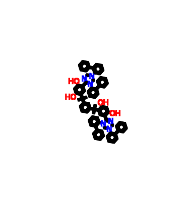 CC(C)(c1cccc(C(C)(C)c2cc(C3=NCN(c4ccccc4-c4ccccc4)CN3c3ccccc3-c3ccccc3)c(O)cc2O)c1)c1cc(C2=NCN(c3ccccc3-c3ccccc3)CN2c2ccccc2-c2ccccc2)c(O)cc1O